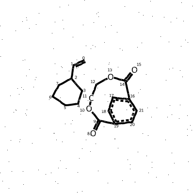 C=CC1CCCCC1.O=C1OCCOC(=O)c2ccc1cc2